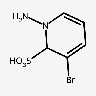 NN1C=CC=C(Br)C1S(=O)(=O)O